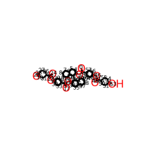 O=C(Oc1ccc2ccccc2c1-c1c(OC(=O)c2ccc(OC(=O)C3CCC4OC4C3)cc2)ccc2ccccc12)c1ccc(OC(=O)C2CCC(O)CC2)cc1